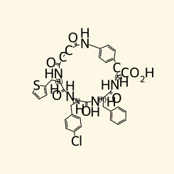 O=C1CCC(=O)N[C@H](Cc2cccs2)C(=O)N[C@@H](Cc2ccc(Cl)cc2)C(=O)N[C@H](Cc2ccccc2)C(=O)N[C@H](C(=O)O)Cc2ccc(cc2)N1